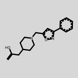 C=C(O)CC1CCN(Cc2cc(-c3ccccc3)no2)CC1